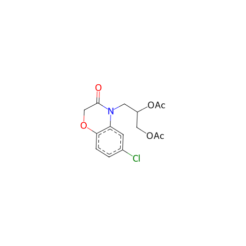 CC(=O)OCC(CN1C(=O)COc2ccc(Cl)cc21)OC(C)=O